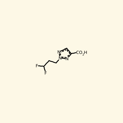 O=C(O)c1cnn(CCC(F)F)n1